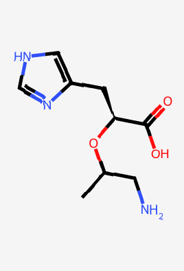 CC(CN)O[C@@H](Cc1c[nH]cn1)C(=O)O